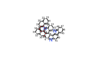 c1ccc(-c2ccc3c(c2-c2ccccc2N(c2cccc4ccccc24)c2cccc4ccccc24)-c2c4c(ccc2=N3)=c2ccccc2=N4)cc1